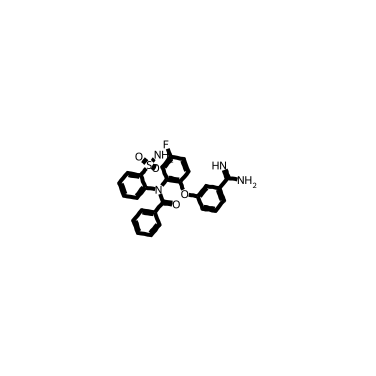 N=C(N)c1cccc(Oc2ccc(F)cc2N(C(=O)c2ccccc2)c2ccccc2S(N)(=O)=O)c1